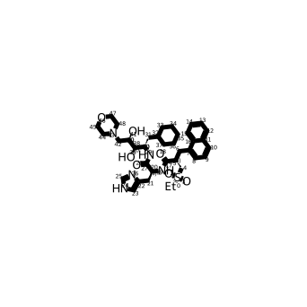 CCS(=O)(=O)C[C@@H](Cc1cccc2ccccc12)C(=O)N[C@@H](Cc1c[nH]cn1)C(=O)N[C@@H](CC1CCCCC1)[C@@H](O)[C@@H](O)CN1CCOCC1